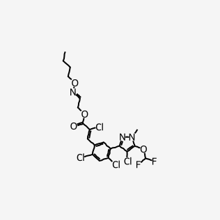 CCCCON=CCOC(=O)C(Cl)=Cc1cc(-c2nn(C)c(OC(F)F)c2Cl)c(Cl)cc1Cl